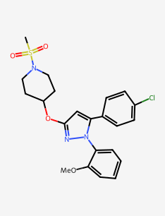 COc1ccccc1-n1nc(OC2CCN(S(C)(=O)=O)CC2)cc1-c1ccc(Cl)cc1